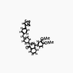 COc1ccc(C2=NN(C3CCN(Cc4ccc(-c5csnn5)cc4)CC3)C(=O)C3CC=CCC23)cc1OC